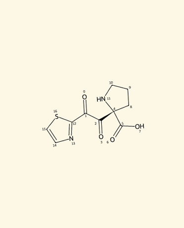 O=C(C(=O)[C@]1(C(=O)O)CCCN1)c1nccs1